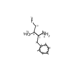 NC(Cc1ccccc1)C(O)CF